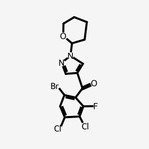 O=C(c1cnn(C2CCCCO2)c1)c1c(Br)cc(Cl)c(Cl)c1F